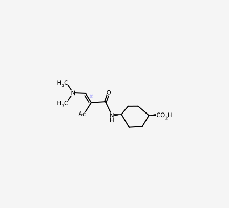 CC(=O)/C(=C\N(C)C)C(=O)N[C@H]1CC[C@@H](C(=O)O)CC1